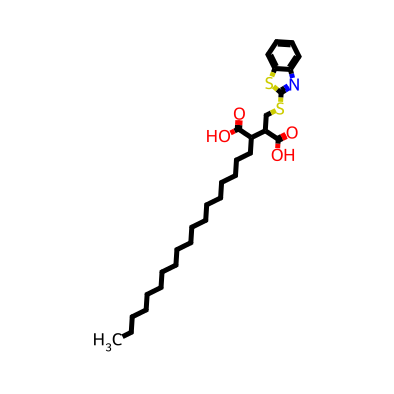 CCCCCCCCCCCCCCCCCCC(C(=O)O)C(CSc1nc2ccccc2s1)C(=O)O